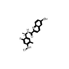 CCNc1cc(F)c([C@@H](C)NC(=O)c2ccc3cc(C(C)(C)C)ccc3n2)cc1C